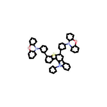 c1ccc(-n2c3ccccc3c3cc(-c4cccc(N5c6ccccc6Oc6ccccc65)c4)c4sc5c(-c6cccc(N7c8ccccc8Oc8ccccc87)c6)cccc5c4c32)cc1